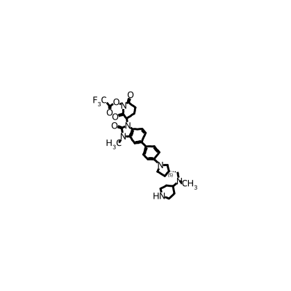 CN(C[C@@H]1CCN(c2ccc(-c3ccc4c(c3)n(C)c(=O)n4C3CCC(=O)N(OC(=O)C(F)(F)F)C3=O)cc2)C1)C1CCNCC1